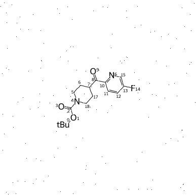 CC(C)(C)OC(=O)N1CCC(C(=O)c2ccc(F)cn2)CC1